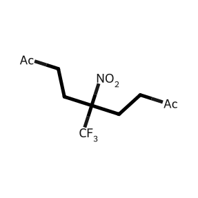 CC(=O)CCC(CCC(C)=O)([N+](=O)[O-])C(F)(F)F